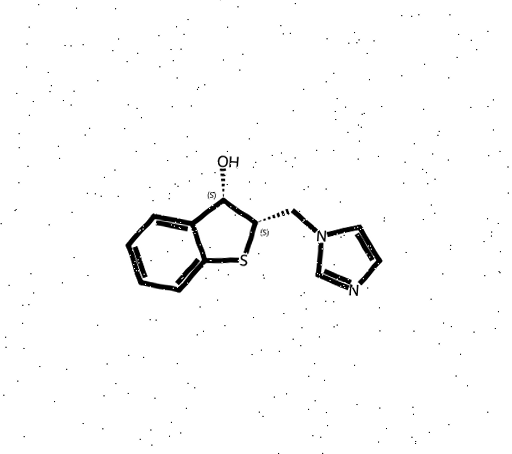 O[C@H]1c2ccccc2S[C@H]1Cn1ccnc1